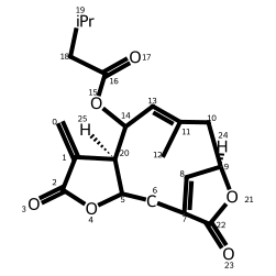 C=C1C(=O)OC2CC3=C[C@@H](C/C(C)=C/C(OC(=O)CC(C)C)[C@H]12)OC3=O